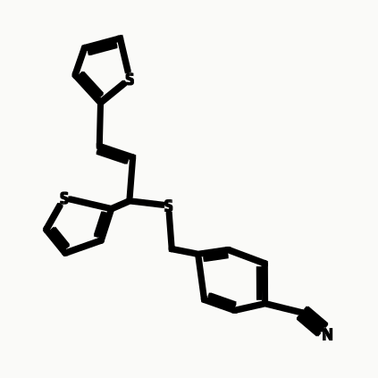 N#Cc1ccc(CSC(C=Cc2cccs2)c2cccs2)cc1